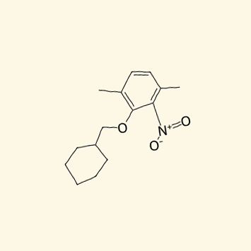 Cc1ccc(C)c([N+](=O)[O-])c1OCC1CCCCC1